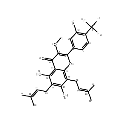 COc1c(-c2ccc(C(F)(F)F)c(F)c2)oc2c(CC=C(C)C)c(O)c(CC=C(C)C)c(O)c2c1=O